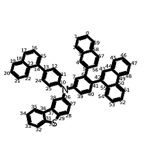 c1ccc2cc(-c3cc(N(c4ccc(-c5cccc6ccccc56)cc4)c4ccc5sc6ccccc6c5c4)ccc3-c3cc4ccccc4c4ccccc34)ccc2c1